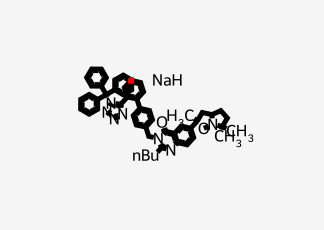 CCCCc1nc2ccc(C3(C)CC4CCC(C)(C)N4O3)cc2c(=O)n1Cc1ccc(-c2ccccc2-c2nnnn2C(c2ccccc2)(c2ccccc2)c2ccccc2)cc1.[NaH]